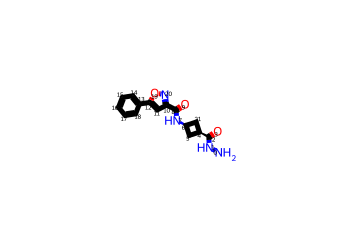 NNC(=O)[C@H]1C[C@@H](NC(=O)c2cc(-c3ccccc3)on2)C1